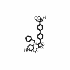 Cc1noc(-c2ccc(-c3ccc(C4(CC(=O)O)CC4)cc3)cc2)c1N(Cc1ccccc1)C1CCNCC1